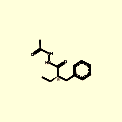 CC[C@@H](Cc1ccccc1)C(=O)NNC(C)=O